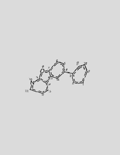 c1ccc(-c2ccc3oc4ncccc4c3c2)cc1